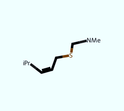 CNCSC/C=C\C(C)C